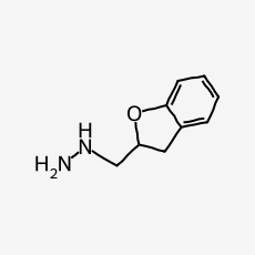 NNCC1Cc2ccccc2O1